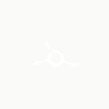 CSc1cc(C(C)(C)C)nn1C